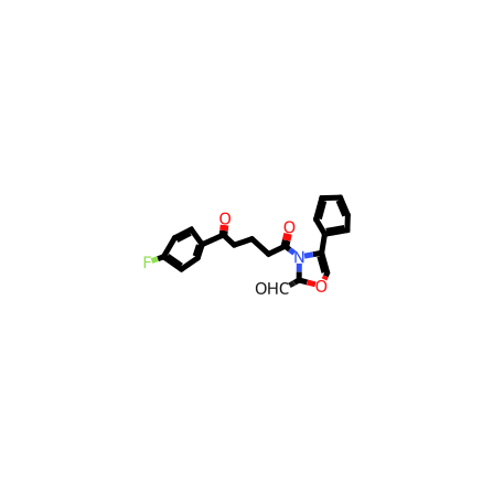 O=CC1OC=C(c2ccccc2)N1C(=O)CCCC(=O)c1ccc(F)cc1